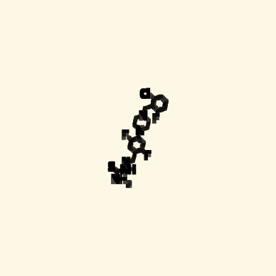 NC(=S)NN=Cc1cc(F)c(N2CCN(Cc3c(F)cccc3Cl)CC2)cc1F